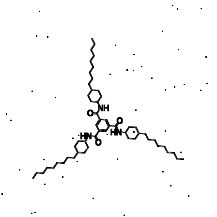 CCCCCCCCCC1CCC(NC(=O)c2cc(C(=O)NC3CCC(CCCCCCCCC)CC3)cc(C(=O)NC3CCC(CCCCCCCCC)CC3)c2)CC1